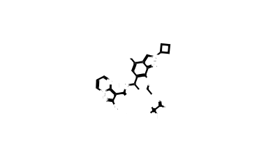 CCOc1c(C(C)NC(=O)c2c(N)nn3cccnc23)cc(Cl)c2cn(C3CCC3)nc12.O=C(O)C(F)(F)F